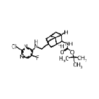 CC(C)(C)OC(=O)NC1[C@@H]2CC3C[C@H]1CC(CNc1nc(Cl)ncc1F)(C3)C2